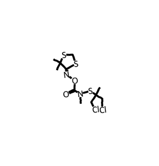 CN(SC(C)(CCl)CCl)C(=O)ON=C1SCSC1(C)C